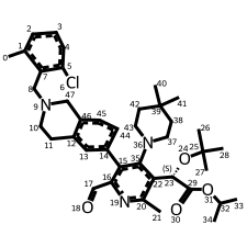 Cc1cccc(Cl)c1CN1CCc2cc(-c3c(C=O)nc(C)c([C@H](OC(C)(C)C)C(=O)OC(C)C)c3N3CCC(C)(C)CC3)ccc2C1